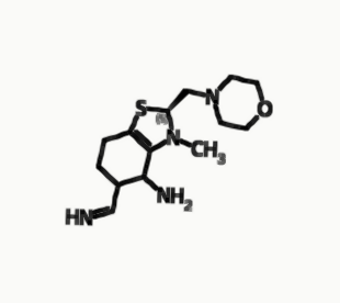 CN1C2=C(CCC(C=N)C2N)S[C@H]1CN1CCOCC1